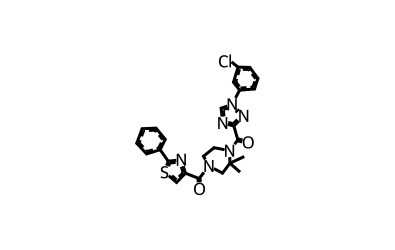 CC1(C)CN(C(=O)c2csc(-c3ccccc3)n2)CCN1C(=O)c1ncn(-c2cccc(Cl)c2)n1